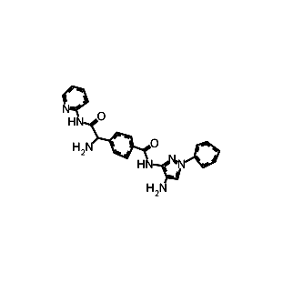 Nc1cn(-c2ccccc2)nc1NC(=O)c1ccc(C(N)C(=O)Nc2ccccn2)cc1